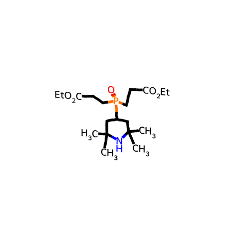 CCOC(=O)CCP(=O)(CCC(=O)OCC)C1CC(C)(C)NC(C)(C)C1